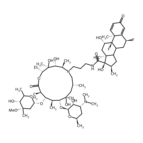 CC[C@H]1OC(=O)[C@H](C)[C@@H](O[C@@H]2C[C@](C)(OC)[C@H](O)C(C)O2)[C@H](C)[C@@H](O[C@@H]2O[C@H](C)C[C@@H](N(C)C)[C@H]2O)[C@](C)(O)C[C@@H](C)CN(CCCNC(=O)[C@@]2(O)[C@H](C)CC3C4C[C@H](F)C5=CC(=O)C=C[C@]5(C)[C@@]4(F)[C@@H](O)C[C@@]32C)[C@H](C)[C@@H](O)[C@]1(C)O